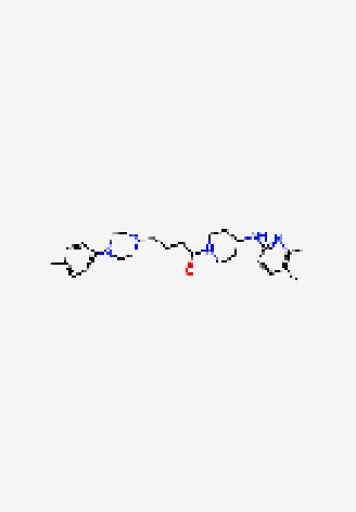 Cc1ccc(N2CCN(CCCC(=O)N3CCC(Nc4ccc(C)c(C)n4)CC3)CC2)cc1